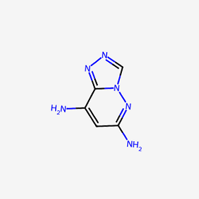 Nc1cc(N)c2nncn2n1